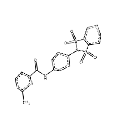 Cc1cccc(C(=O)Nc2ccc(N3S(=O)(=O)c4ccccc4S3(=O)=O)cc2)n1